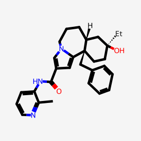 CC[C@]1(O)CC[C@]2(Cc3ccccc3)c3cc(C(=O)Nc4cccnc4C)cn3CCC[C@@H]2C1